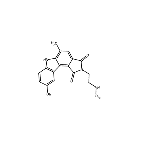 CNCCN1C(=O)c2cc(C)c3[nH]c4ccc(O)cc4c3c2C1=O